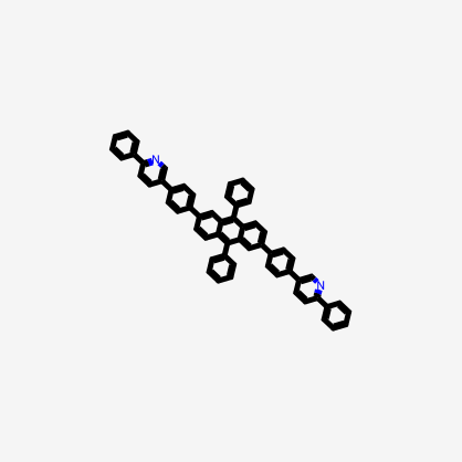 c1ccc(-c2ccc(-c3ccc(-c4ccc5c(-c6ccccc6)c6cc(-c7ccc(-c8ccc(-c9ccccc9)nc8)cc7)ccc6c(-c6ccccc6)c5c4)cc3)cn2)cc1